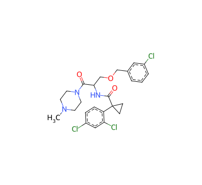 CN1CCN(C(=O)C(COCc2cccc(Cl)c2)NC(=O)C2(c3ccc(Cl)cc3Cl)CC2)CC1